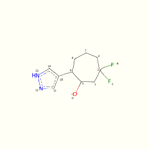 [O]C1CC(F)(F)CCCC1c1cn[nH]c1